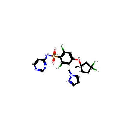 Cn1nccc1[C@H]1CC(F)(F)C[C@@]1(C)Oc1cc(F)c(S(=O)(=O)Nc2ccncn2)c(F)c1